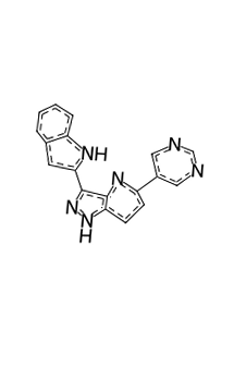 c1ccc2[nH]c(-c3n[nH]c4ccc(-c5cncnc5)nc34)cc2c1